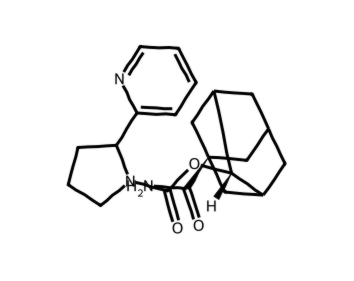 NC(=O)[C@]12CC3CC(C1)[C@@H](OC(=O)N1CCCC1c1ccccn1)C(C3)C2